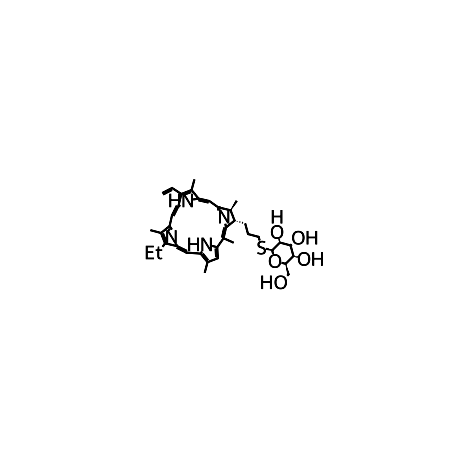 C=Cc1c(C)c2cc3nc(c(C)c4cc(C)c(cc5nc(cc1[nH]2)C(C)=C5CC)[nH]4)[C@@H](CCCS[C@@H]1O[C@H](CO)[C@@H](O)[C@H](O)[C@H]1O)[C@@H]3C